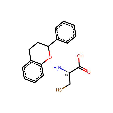 N[C@@H](CS)C(=O)O.c1ccc(C2CCc3ccccc3O2)cc1